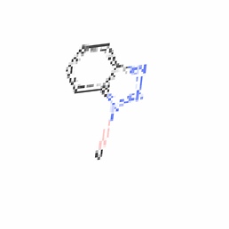 C=Bn1nnc2ccccc21